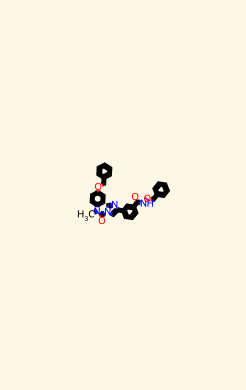 CN(C(=O)n1cnc(-c2cccc(C(=O)NOCc3ccccc3)c2)c1)C1CCC(OCc2ccccc2)CC1